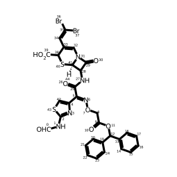 O=CNc1nc(C(=NOCC(=O)OC(c2ccccc2)c2ccccc2)C(=O)NC2C(=O)N3C=C(C=C(Br)Br)C(C(=O)O)S[C@H]23)cs1